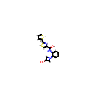 O=C(Nc1ccccc1N1CC(O)C1)c1csc(-c2cccs2)n1